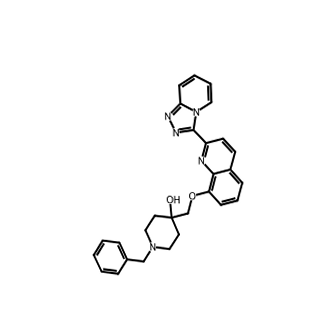 OC1(COc2cccc3ccc(-c4nnc5ccccn45)nc23)CCN(Cc2ccccc2)CC1